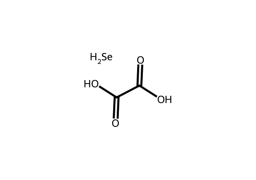 O=C(O)C(=O)O.[SeH2]